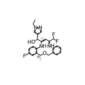 CCn1cc(C(O)/C(=C/C(=N)C(F)F)Nc2ccc(F)cc2[C@@H](C)OCc2ccccc2)cn1